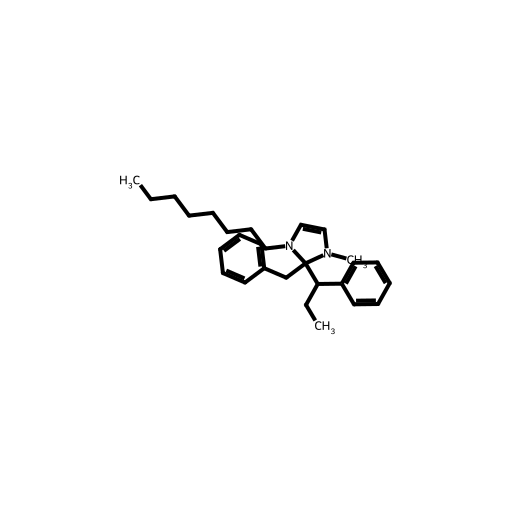 CCCCCCCCN1C=CN(C)C1(Cc1ccccc1)C(CC)c1ccccc1